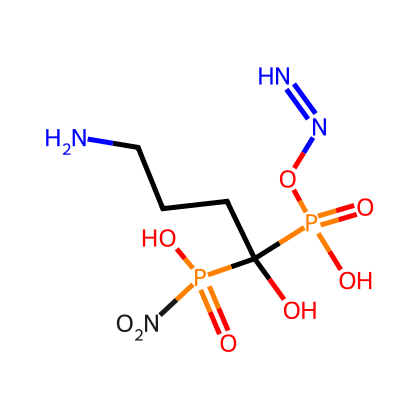 N=NOP(=O)(O)C(O)(CCCN)P(=O)(O)[N+](=O)[O-]